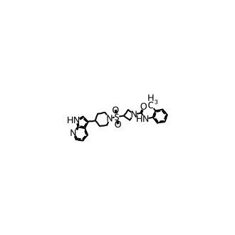 Cc1ccccc1NC(=O)N1CC(S(=O)(=O)N2CCC(c3c[nH]c4ncccc34)CC2)C1